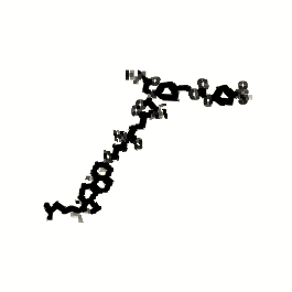 CC(C)CCC[C@@H](C)[C@H]1CCC2C3CC=C4C[C@@H](OCCCNC(=O)CCC(=O)N[C@@H](C)C(=O)N(CC(N)=O)c5ccc(COC(=O)Oc6ccc([N+](=O)[O-])cc6)cc5)CC[C@]4(C)C3CC[C@@]21C